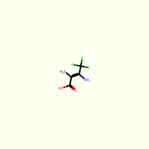 C/C(C(=O)O)=C(/N)C(F)(F)F